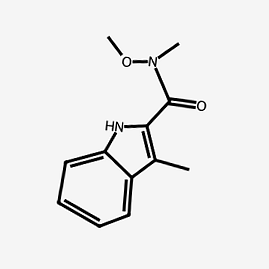 CON(C)C(=O)c1[nH]c2ccccc2c1C